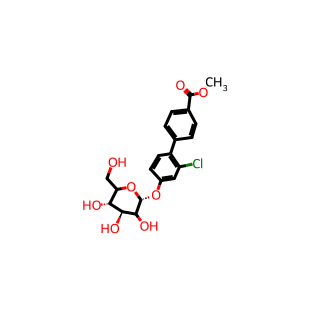 COC(=O)c1ccc(-c2ccc(O[C@H]3OC(CO)[C@@H](O)[C@H](O)C3O)cc2Cl)cc1